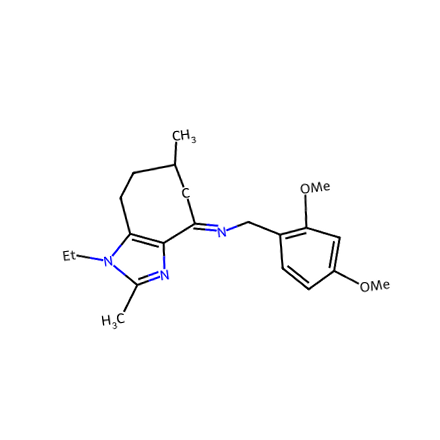 CCn1c(C)nc2c1CCC(C)CC2=NCc1ccc(OC)cc1OC